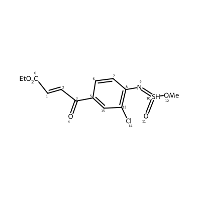 CCOC(=O)/C=C/C(=O)c1ccc(N=[SH](=O)OC)c(Cl)c1